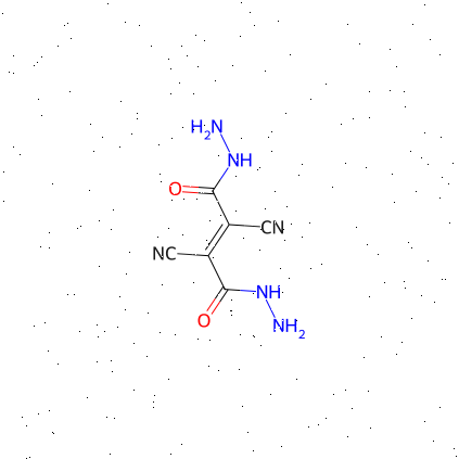 N#CC(C(=O)NN)=C(C#N)C(=O)NN